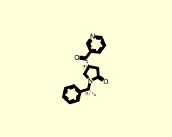 C[C@H](c1ccccc1)N1C[C@H](C(=O)c2cccnc2)CC1=O